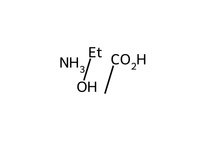 CC(=O)O.CCO.N